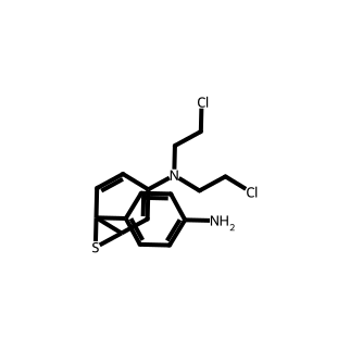 Nc1ccc(C23C=CC(N(CCCl)CCCl)=CC2S3)cc1